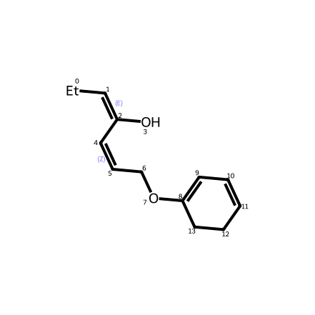 CC/C=C(O)\C=C/COC1=CC=CCC1